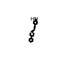 CNc1ccc(C#CCCN2CC=C(c3ccccc3)CC2)cc1